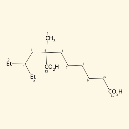 CCC(CC)CC(C)(CCCCCC(=O)O)C(=O)O